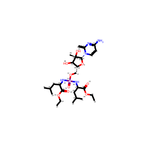 C=C1N=C(N)C=CN1[C@@H]1O[C@H](COP(=O)(NC(CC(C)C)C(=O)OCC)NC(CC(C)C)C(=O)OCC)C(O)[C@]1(C)O